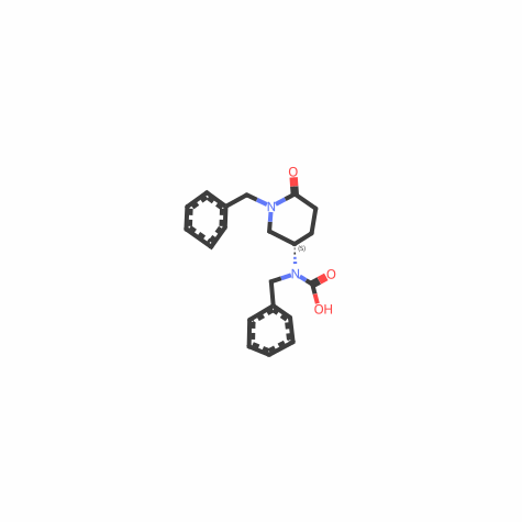 O=C1CC[C@H](N(Cc2ccccc2)C(=O)O)CN1Cc1ccccc1